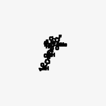 COC(=O)C1=C(CN2CCN3C(=O)N(c4ccc(CC(=O)NC5CC5)cc4)C[C@@H]3C2)NC(c2nccs2)=N[C@H]1c1ccc(F)cc1Cl